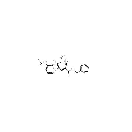 CCOc1nc2c(OC(C)C)cccn2c1C=C(C#N)C(=O)OCc1ccccc1